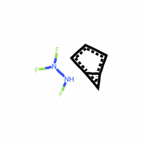 FNN(F)F.c1cc2cc-2c1